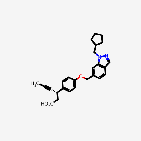 CC#C[C@@H](CC(=O)O)c1ccc(OCc2ccc3cnn(CC4CCCC4)c3c2)cc1